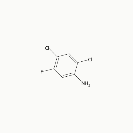 Nc1cc(F)c(Cl)cc1Cl